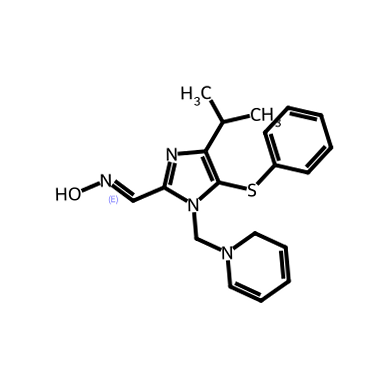 CC(C)c1nc(/C=N/O)n(CN2C=CC=CC2)c1Sc1ccccc1